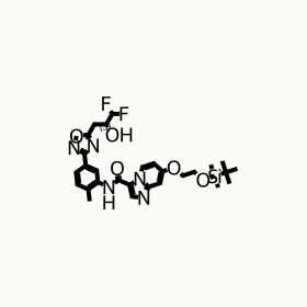 Cc1ccc(-c2noc(C[C@H](O)C(F)F)n2)cc1NC(=O)c1cnc2cc(OCCO[Si](C)(C)C(C)(C)C)ccn12